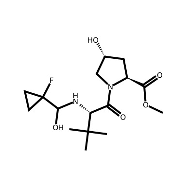 COC(=O)[C@@H]1C[C@@H](O)CN1C(=O)[C@@H](NC(O)C1(F)CC1)C(C)(C)C